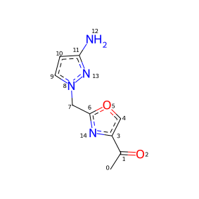 CC(=O)c1coc(Cn2ccc(N)n2)n1